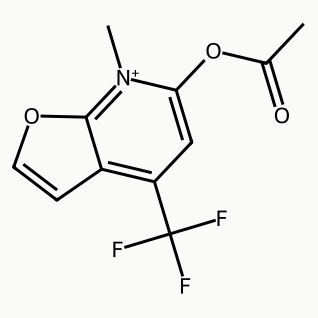 CC(=O)Oc1cc(C(F)(F)F)c2ccoc2[n+]1C